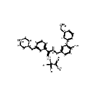 NCc1cccc(-c2cc(CNC(=O)c3cccc(CC4CCNCC4)c3)ccc2F)c1.O=C(O)C(F)(F)F